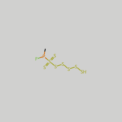 CP(F)S(=S)(=S)SSSSS